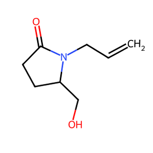 C=CCN1C(=O)CCC1CO